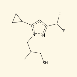 CC(CS)Cn1nc(C(F)F)cc1C1CC1